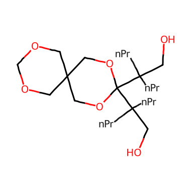 CCCC(CO)(CCC)C1(C(CO)(CCC)CCC)OCC2(COCOC2)CO1